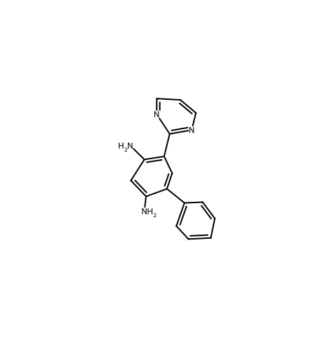 Nc1cc(N)c(-c2ncccn2)cc1-c1ccccc1